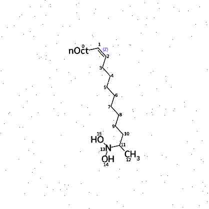 CCCCCCCC/C=C\CCCCCCCCC(C)N(O)O